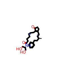 C[C@H](/C=C/C1=C(C/C=C\CCCC(=O)NC(CO)CO)C(=O)CC1)CCc1ccccc1